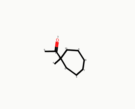 CC(=O)C1(C)CCCCCC1